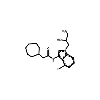 NCC(O)Cn1cc(NC(=O)CC2CCCCCC2)c2c(Cl)cccc21